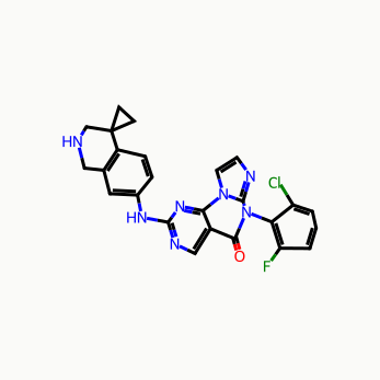 O=c1c2cnc(Nc3ccc4c(c3)CNCC43CC3)nc2n2ccnc2n1-c1c(F)cccc1Cl